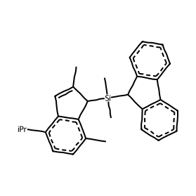 CC1=Cc2c(C(C)C)ccc(C)c2C1[Si](C)(C)C1c2ccccc2-c2ccccc21